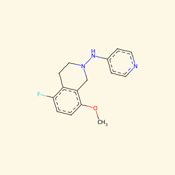 COc1ccc(F)c2c1CN(Nc1ccncc1)CC2